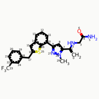 C=C(NCC(N)=O)c1cc(-c2cccc3cc(Cc4cccc(C(F)(F)F)c4)sc23)nn1C